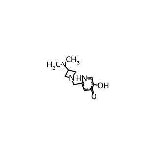 CN(C)C1CN(Cc2cc(=O)c(O)c[nH]2)C1